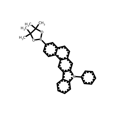 CC1(C)OB(c2ccc3c(ccc4cc5c(cc43)c3ccccc3n5-c3ccccc3)c2)OC1(C)C